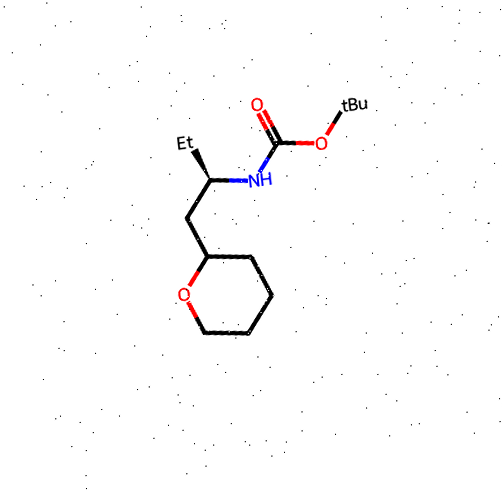 CC[C@H](CC1CCCCO1)NC(=O)OC(C)(C)C